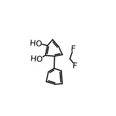 FCF.Oc1cccc(-c2ccccc2)c1O